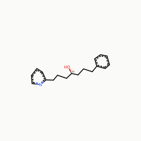 O[C@@H](CCCc1ccccc1)CCCc1ccccn1